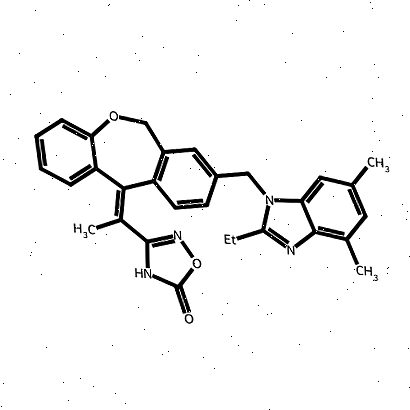 CCc1nc2c(C)cc(C)cc2n1Cc1ccc2c(c1)COc1ccccc1/C2=C(\C)c1noc(=O)[nH]1